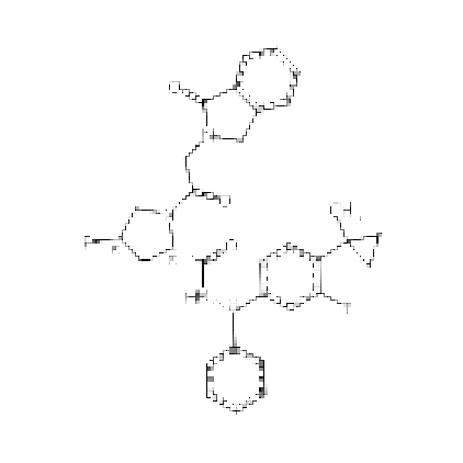 CC1(c2ccc([C@@H](NC(=O)[C@@H]3C[C@@H](F)CN3C(=O)CN3Cc4ccccc4C3=O)c3ccccc3)cc2F)CC1